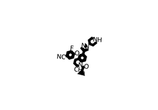 CC1CCc2c(ccc(-c3cnn(C4CCNCC4)c3)c2Oc2ccc(C#N)cc2F)N1C(=O)C1CC1